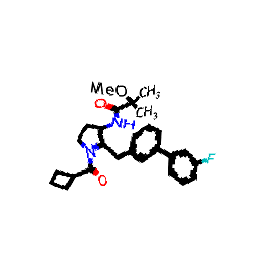 COC(C)(C)C(=O)NC1CCN(C(=O)C2CCC2)C1Cc1cccc(-c2cccc(F)c2)c1